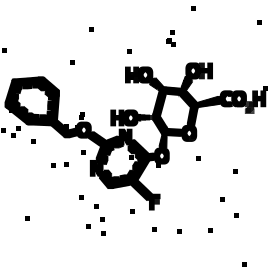 O=C(O)[C@H]1O[C@@H](Oc2nc(OCc3ccccc3)ncc2F)[C@H](O)[C@@H](O)[C@H]1O